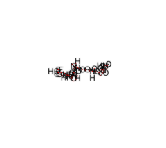 O=C(COc1cccc2c1C(=O)N(C1CCC(=O)NC1=O)C2=O)NCCOCCOCC(=O)NC1(c2ccccn2)CN(C(=O)[C@@H]2CC[C@H]3CCCC[C@H](NC(=O)c4cc5cc(C(F)(F)P(=O)(O)O)ccc5s4)C(=O)N32)C1